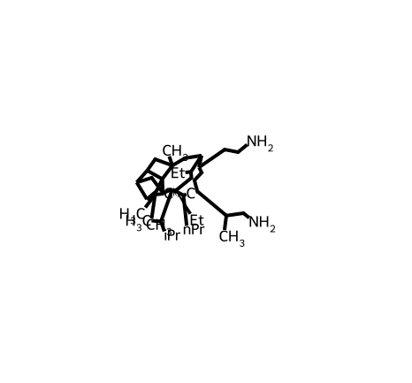 CCCC1CC(C(C)CN)CCC(CCN)C2CC3(C)CC4C5CC(C1C(C)C(C)C)C43CC5C(C)(C)C[C@H](CC)CC2CC